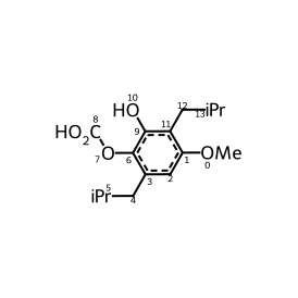 COc1cc(CC(C)C)c(OC(=O)O)c(O)c1CC(C)C